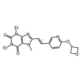 CCn1c(=O)c2c(nc(/C=C/c3ccc(OC4COC4)nc3)n2C)n(CC)c1=O